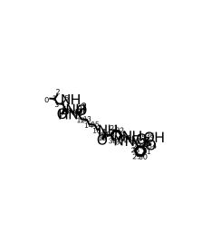 CC(C)C[C@@H](N)C(=O)NNC(=O)CCCCCNC(=O)c1ccc(NN=Cc2ccccc2S(=O)(=O)O)nc1